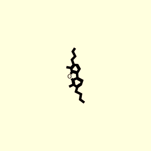 CCCCc1ccc2c(oc3c(C)c(CCCC)ccc32)c1C